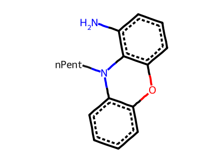 CCCCCN1c2ccccc2Oc2cccc(N)c21